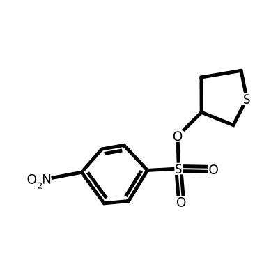 O=[N+]([O-])c1ccc(S(=O)(=O)OC2CCSC2)cc1